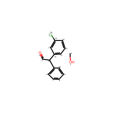 CO.O=CC(c1ccccc1)c1cccc(Cl)c1